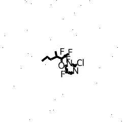 CCCC(C)C(Oc1nc(Cl)ncc1F)C(F)(F)F